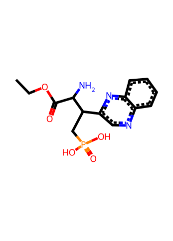 CCOC(=O)C(N)C(CP(=O)(O)O)c1cnc2ccccc2n1